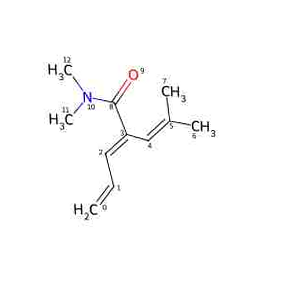 C=C/C=C(\C=C(C)C)C(=O)N(C)C